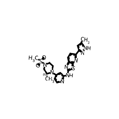 Cc1cc(-c2ccc3nc(Nc4cc(N5CCN(S(C)(=O)=O)C[C@H]5C)ccn4)sc3n2)n[nH]1